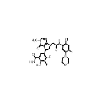 Cn1cnc2c(c(-c3cc(C(N)=O)c(O)c(F)c3F)cn2CC(=O)Nc2cc(N3CCOCC3)c(F)cc2Cl)c1=O